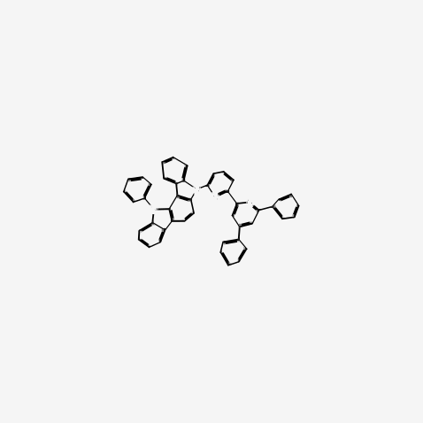 c1ccc(-c2cc(-c3ccccc3)nc(-c3cccc(-n4c5ccccc5c5c4ccc4c6ccccc6n(-c6ccccc6)c45)n3)c2)cc1